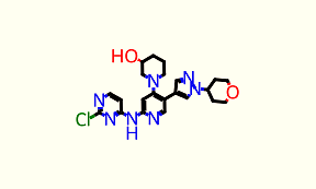 O[C@H]1CCCN(c2cc(Nc3ccnc(Cl)n3)ncc2-c2cnn(C3CCOCC3)c2)C1